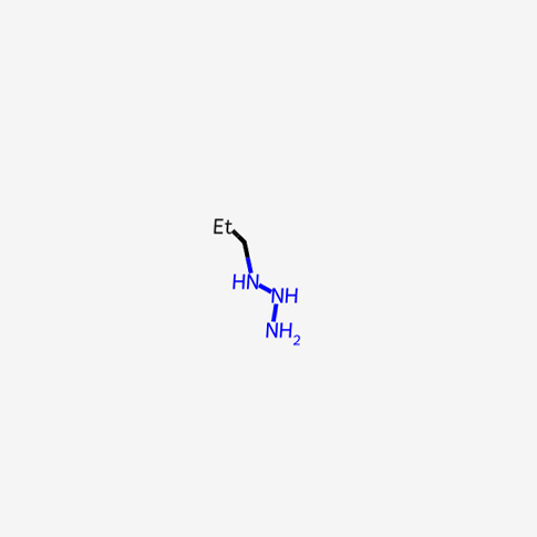 CCCNNN